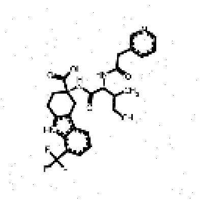 CCC(C)[C@H](NC(=O)Cc1cccnc1)C(=O)N[C@]1(C(=O)O)CCc2[nH]c3c(C(F)(F)F)cccc3c2C1